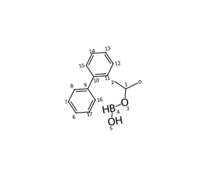 CC(C)OBO.c1ccc(-c2ccccc2)cc1